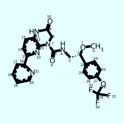 CO[C@@H](CNC(=O)N1CC(=O)Nc2ccc(-c3ccccn3)nc21)c1ccc(OC(F)(F)F)cc1